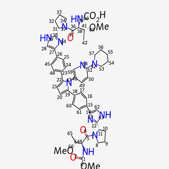 COC(=O)N[C@H](C(=O)N1CCC[C@H]1c1nc(-c2ccc(-c3ccc(-c4ccc(-c5c[nH]c([C@@H]6CCCN6C(=O)[C@@H](NC(=O)O)[C@@H](C)OC)n5)cc4)n3-c3ccc(N4CCCCC4)nc3)cc2)c[nH]1)[C@@H](C)OC